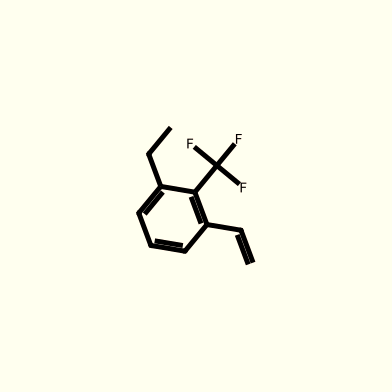 C=Cc1cccc(CC)c1C(F)(F)F